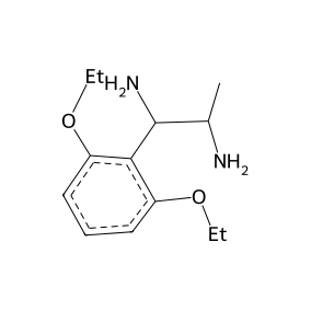 CCOc1cccc(OCC)c1C(N)C(C)N